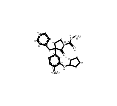 COc1ccc(C2(Cc3ccncc3)CCN(C(=O)OC(C)(C)C)C2=O)cc1OC1CCCC1